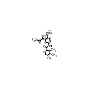 Cc1c(C#N)cnc(C(=O)Nc2ccc(NPI)c(C(=N)C3CC3C(F)(F)F)c2)c1C